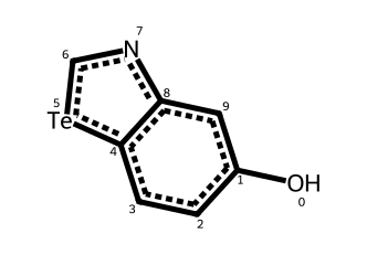 Oc1ccc2[te]cnc2c1